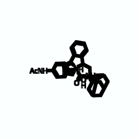 CC(=O)Nc1ccc(NC(=O)NC23CC4CC(C2)C(C(O)CC2c5ccccc5-c5cncn52)C(C4)C3)cc1